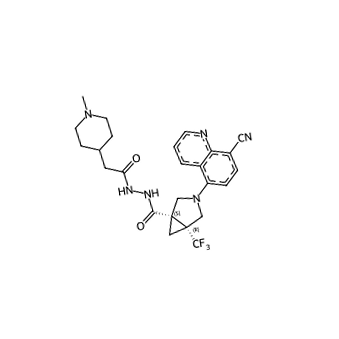 CN1CCC(CC(=O)NNC(=O)[C@]23CN(c4ccc(C#N)c5ncccc45)C[C@@]2(C(F)(F)F)C3)CC1